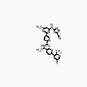 Cc1cc(Nc2noc(C#N)n2)nc(-c2ccc(C(=O)NC(C)c3ccc(-c4cc(F)cnc4C)nc3)nc2)n1